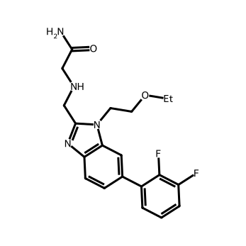 CCOCCn1c(CNCC(N)=O)nc2ccc(-c3cccc(F)c3F)cc21